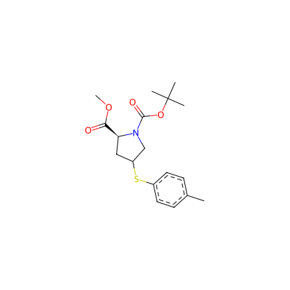 COC(=O)[C@@H]1CC(Sc2ccc(C)cc2)CN1C(=O)OC(C)(C)C